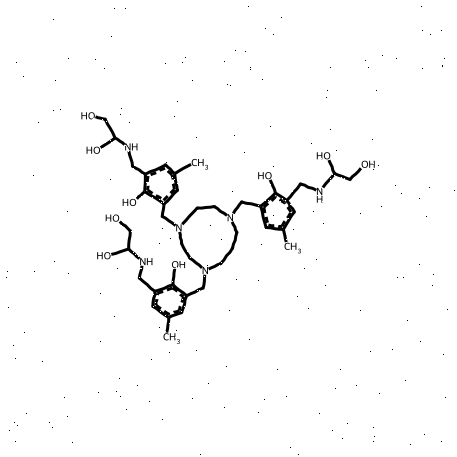 Cc1cc(CNC(O)CO)c(O)c(CN2CCCN(Cc3cc(C)cc(CNC(O)CO)c3O)CCN(Cc3cc(C)cc(CNC(O)CO)c3O)CC2)c1